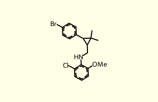 COc1cccc(Cl)c1NCC1C(c2ccc(Br)cc2)C1(C)C